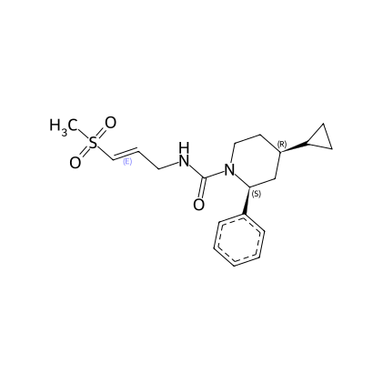 CS(=O)(=O)/C=C/CNC(=O)N1CC[C@@H](C2CC2)C[C@H]1c1ccccc1